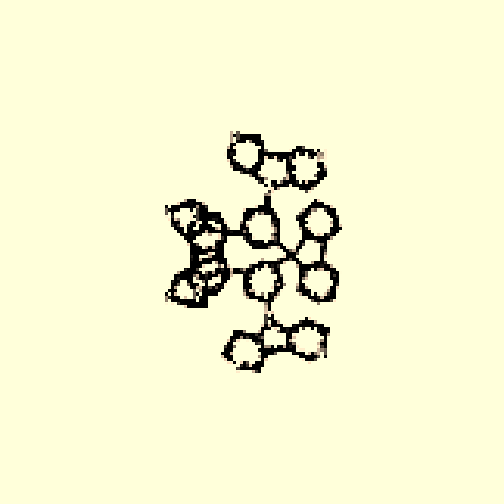 c1ccc2c(c1)-c1ccccc1C2(c1cc(-n2c3ccncc3c3cnccc32)cc(-n2c3ccncc3c3cnccc32)c1)c1cc(-n2c3ccncc3c3cnccc32)cc(-n2c3ccncc3c3cnccc32)c1